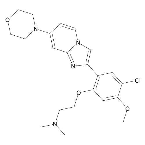 COc1cc(OCCN(C)C)c(-c2cn3ccc(N4CCOCC4)cc3n2)cc1Cl